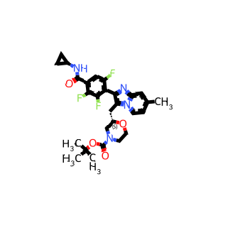 Cc1ccn2c(C[C@H]3CN(C(=O)OC(C)(C)C)CCO3)c(-c3c(F)cc(C(=O)NC4CC4)c(F)c3F)nc2c1